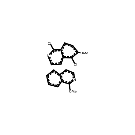 COc1ccc2c(Cl)nccc2c1Cl.COc1nccc2ccccc12